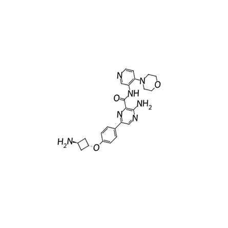 Nc1ncc(-c2ccc(O[C@H]3C[C@H](N)C3)cc2)nc1C(=O)Nc1cnccc1N1CCOCC1